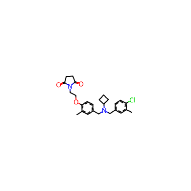 Cc1cc(CN(Cc2ccc(OCCN3C(=O)CCC3=O)c(C)c2)C2CCC2)ccc1Cl